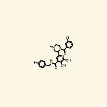 CN1CCN(C(=O)c2cccc(Cl)c2)C(c2cc(C(=O)NCc3ccc(F)cc3)c(O)c(O)n2)C1